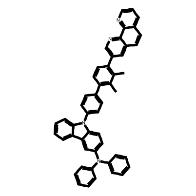 Cc1c(-c2ccc(-n3c4ccccc4c4cc(N(c5ccccc5)c5ccccc5)ccc43)cc2)ccc(-c2cnc3c(ccc4cccnc43)c2)c1C